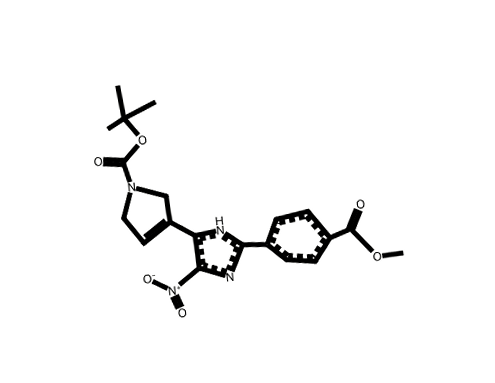 COC(=O)c1ccc(-c2nc([N+](=O)[O-])c(C3=CCN(C(=O)OC(C)(C)C)C3)[nH]2)cc1